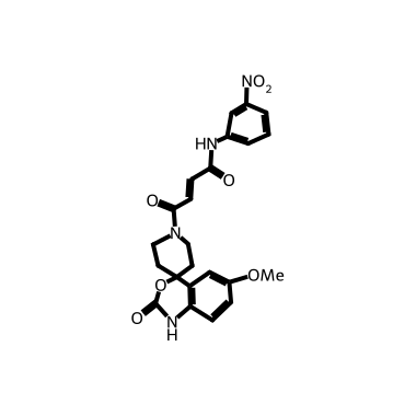 COc1ccc2c(c1)C1(CCN(C(=O)C=CC(=O)Nc3cccc([N+](=O)[O-])c3)CC1)OC(=O)N2